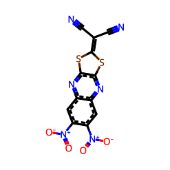 N#CC(C#N)=C1Sc2nc3cc([N+](=O)[O-])c([N+](=O)[O-])cc3nc2S1